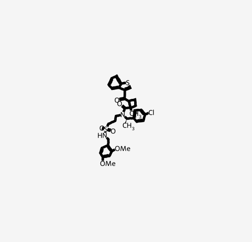 COc1ccc(CNS(=O)(=O)CCCN(C(=O)C2(C)CCC2C(=O)c2csc3ccccc23)[C@@H](C)c2ccc(Cl)cc2)c(OC)c1